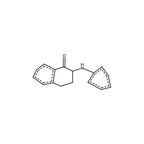 O=C1c2ccccc2CCC1Nc1ccccc1